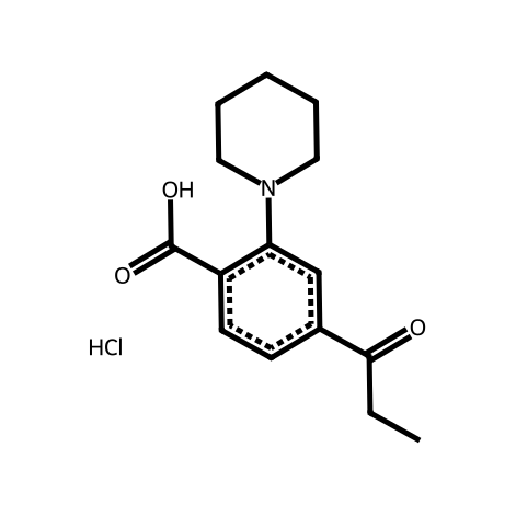 CCC(=O)c1ccc(C(=O)O)c(N2CCCCC2)c1.Cl